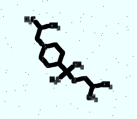 CC(C)COC(C)(C)C1CCN(CC(C)C)CC1